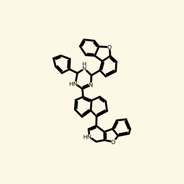 C1=C(c2cccc3c(C4=NC(c5cccc6oc7ccccc7c56)NC(c5ccccc5)N4)cccc23)c2c(oc3ccccc23)CN1